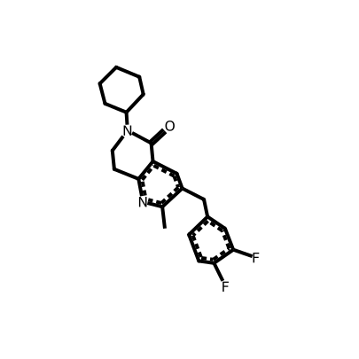 Cc1nc2c(cc1Cc1ccc(F)c(F)c1)C(=O)N(C1CCCCC1)CC2